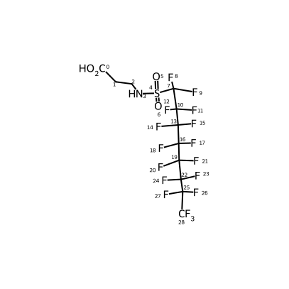 O=C(O)CCNS(=O)(=O)C(F)(F)C(F)(F)C(F)(F)C(F)(F)C(F)(F)C(F)(F)C(F)(F)C(F)(F)F